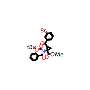 COC(=O)C1(N(C(=O)OC(C)(C)C)C(=O)c2ccccc2)CC1C(=O)c1cccc(Br)c1